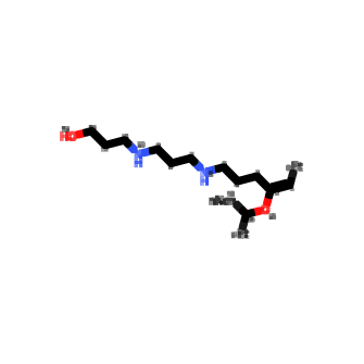 CC/C=C(\CCCNCCCNCCCO)OC(CC)CCCCCCCCC